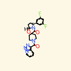 O=C(c1nnn2ccccc12)N1CCC2(CC1)O[C@@H]1CC[C@@H](c3cc(F)cc(F)c3)N1C2=O